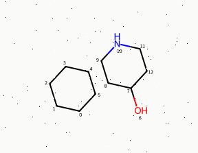 C1CCCCC1.OC1CCNCC1